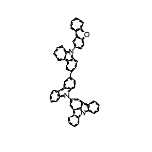 c1ccc2c(c1)oc1ccc(-n3c4ccccc4c4cc(-c5ccc6c(c5)c5ccccc5n6-c5cc6c7ccccc7n7c8ccccc8c(c5)c67)ccc43)cc12